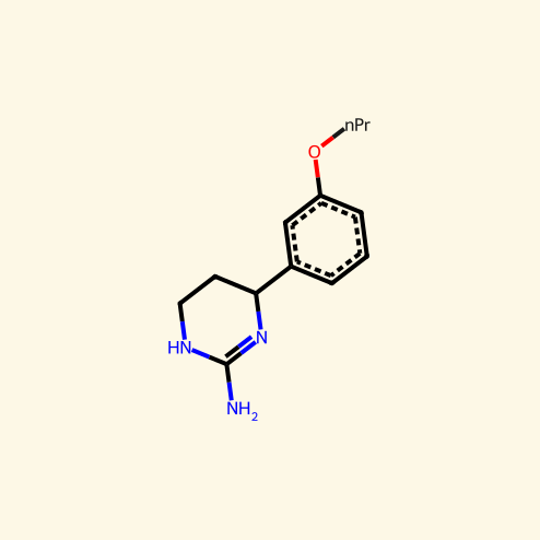 CCCOc1cccc(C2CCNC(N)=N2)c1